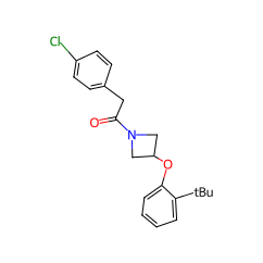 CC(C)(C)c1ccccc1OC1CN(C(=O)Cc2ccc(Cl)cc2)C1